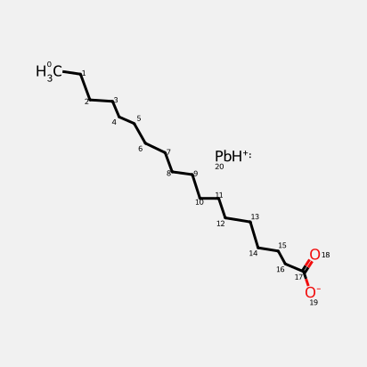 CCCCCCCCCCCCCCCCCC(=O)[O-].[PbH+]